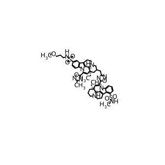 CC[C@@]12C=C(c3nc(C)no3)n3c4c(c5cc(S(=O)(=O)NCCCOC)ccc53)CCN(CC(Cc3noc(C5=C[C@]6(CC)CCCN7CCc8c(n5c5cccc(S(=O)(=O)NC)c85)[C@@H]76)n3)C1)[C@H]42